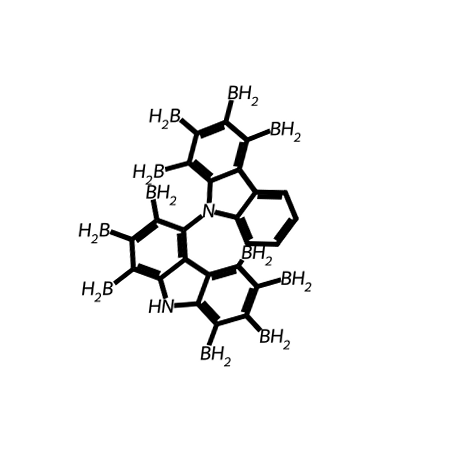 Bc1c(B)c(B)c2c([nH]c3c(B)c(B)c(B)c(-n4c5ccccc5c5c(B)c(B)c(B)c(B)c54)c32)c1B